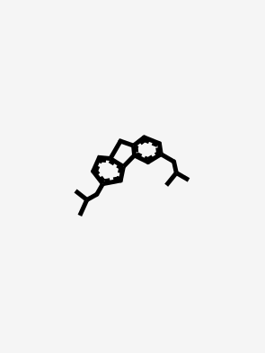 CC(C)Cc1ccc2c(c1)-c1cc(CC(C)C)ccc1C2